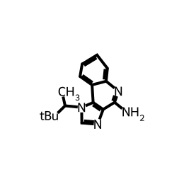 CC(n1cnc2c(N)nc3ccccc3c21)C(C)(C)C